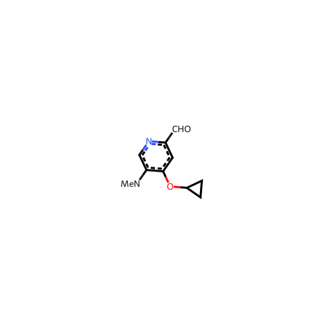 CNc1cnc(C=O)cc1OC1CC1